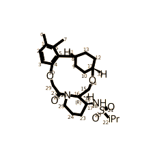 Cc1ccc2c(c1C)[C@H]1CC[C@H](CC1)OC[C@H]1[C@@H](NS(=O)(=O)C(C)C)CCCN1C(=O)CO2